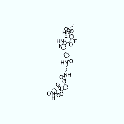 CCCS(=O)(=O)Nc1ccc(F)c(C(=O)c2c[nH]c3ncc(-c4ccc(C(=O)NCCCCNC(=O)COc5cccc6c5C(=O)N(C5CCC(=O)NC5=O)C6=O)cc4)cc23)c1F